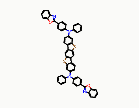 c1ccc(N(c2ccc(-c3nc4ccccc4o3)cc2)c2ccc3c(c2)sc2cc4c(cc23)sc2cc(N(c3ccccc3)c3ccc(-c5nc6ccccc6o5)cc3)ccc24)cc1